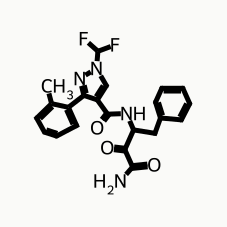 Cc1ccccc1-c1nn(C(F)F)cc1C(=O)NC(Cc1ccccc1)C(=O)C(N)=O